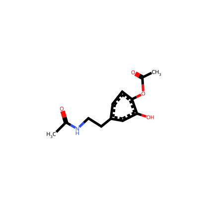 CC(=O)NCCc1ccc(OC(C)=O)c(O)c1